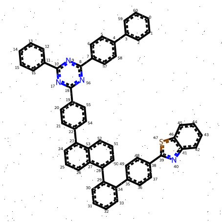 c1ccc(-c2ccc(-c3nc(-c4ccccc4)nc(-c4ccc(-c5cccc6c(-c7ccccc7-c7ccc(-c8nc9ccccc9s8)cc7)cccc56)cc4)n3)cc2)cc1